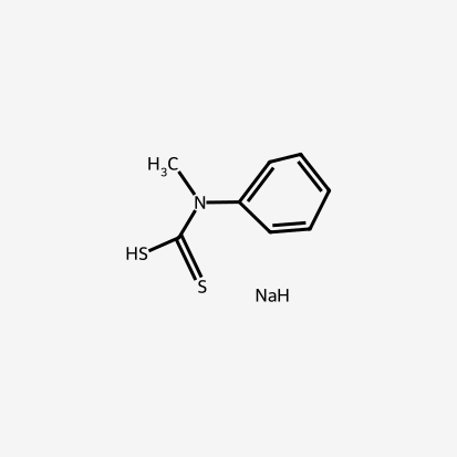 CN(C(=S)S)c1ccccc1.[NaH]